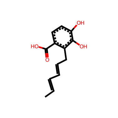 CC=CC=CCc1c(C(=O)O)ccc(O)c1O